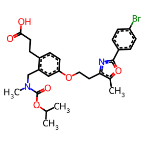 Cc1oc(-c2ccc(Br)cc2)nc1CCOc1ccc(CCC(=O)O)c(CN(C)C(=O)OC(C)C)c1